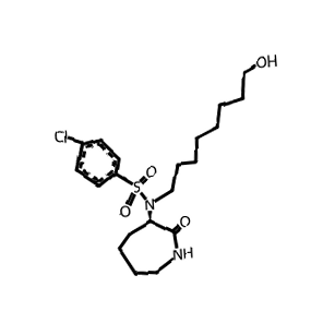 O=C1NCCCC[C@H]1N(CCCCCCCCO)S(=O)(=O)c1ccc(Cl)cc1